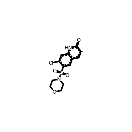 O=c1[c]cc2cc(S(=O)(=O)N3CCOCC3)c(Cl)cc2[nH]1